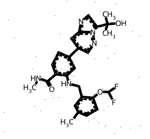 CNC(=O)c1ccc(-c2cnn3c(C(C)(C)O)cnc3c2)cc1NCc1cc(C)ccc1OC(F)F